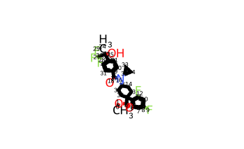 COC(=O)C1(c2ccc(F)cc2F)CCC(N(C(=O)c2ccc(C(C)(O)C(F)(F)F)cc2)C2CC2)CC1